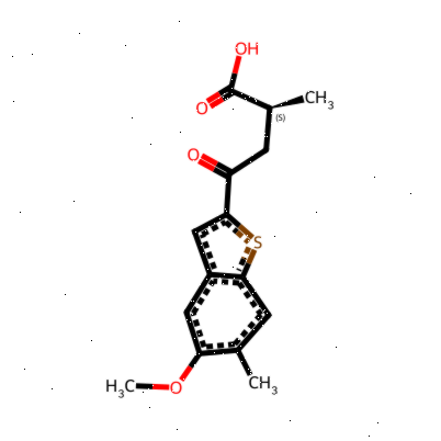 COc1cc2cc(C(=O)C[C@H](C)C(=O)O)sc2cc1C